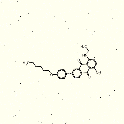 CCCCCCOc1ccc(-c2ccc3c(c2)C(=O)c2c(NCC)ccc(O)c2C3=O)cc1